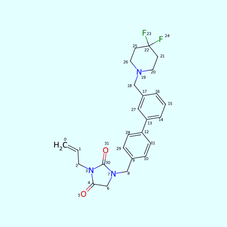 C=CCN1C(=O)CN(Cc2ccc(-c3cccc(CN4CCC(F)(F)CC4)c3)cc2)C1=O